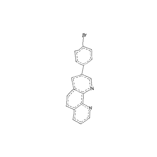 Brc1ccc(-c2cnc3c(ccc4cccnc43)c2)cc1